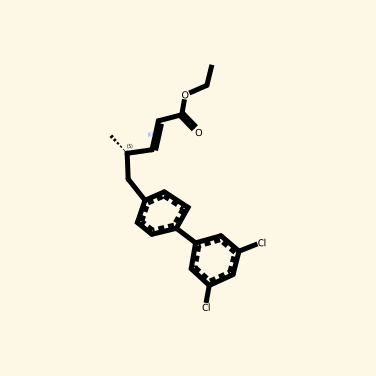 CCOC(=O)/C=C/[C@@H](C)Cc1ccc(-c2cc(Cl)cc(Cl)c2)cc1